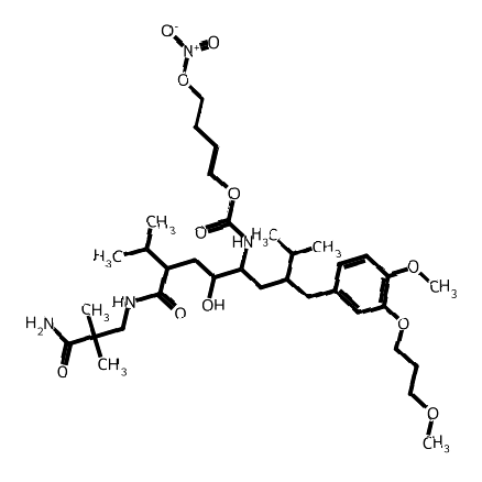 COCCCOc1cc(CC(CC(NC(=O)OCCCCO[N+](=O)[O-])C(O)CC(C(=O)NCC(C)(C)C(N)=O)C(C)C)C(C)C)ccc1OC